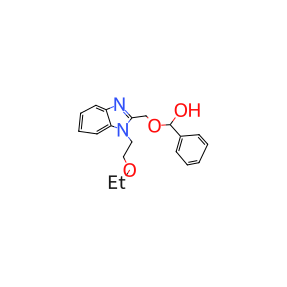 CCOCCn1c(COC(O)c2ccccc2)nc2ccccc21